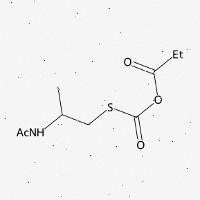 CCC(=O)OC(=O)SCC(C)NC(C)=O